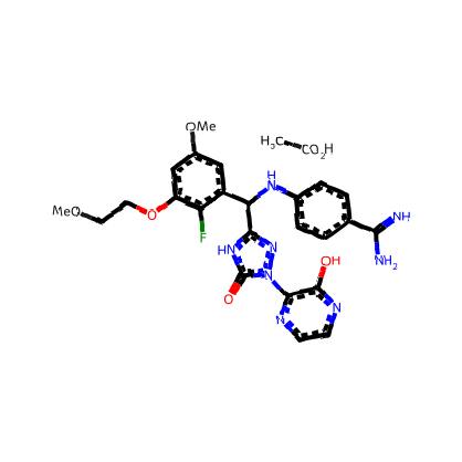 CC(=O)O.COCCOc1cc(OC)cc(C(Nc2ccc(C(=N)N)cc2)c2nn(-c3nccnc3O)c(=O)[nH]2)c1F